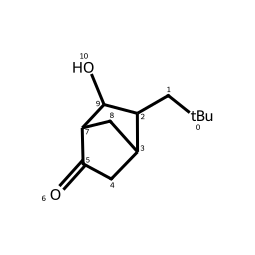 CC(C)(C)CC1C2CC(=O)C(C2)C1O